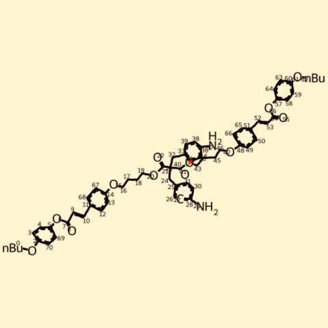 CCCCOc1ccc(OC(=O)C=Cc2ccc(OCCCCOC(=O)C(Cc3ccc(N)cc3)(Cc3ccc(N)cc3)C(=O)OCCCCOc3ccc(C=CC(=O)Oc4ccc(OCCCC)cc4)cc3)cc2)cc1